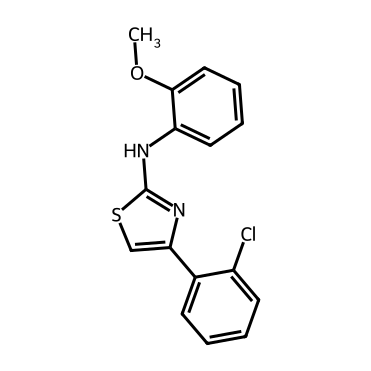 COc1ccccc1Nc1nc(-c2ccccc2Cl)cs1